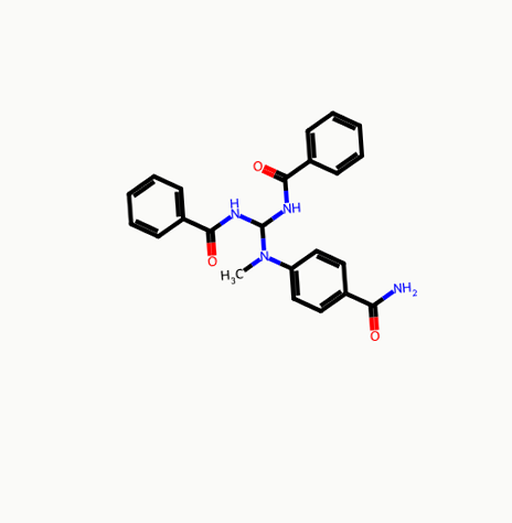 CN([C](NC(=O)c1ccccc1)NC(=O)c1ccccc1)c1ccc(C(N)=O)cc1